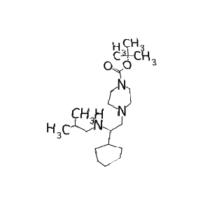 CC(C)CNC(CN1CCN(C(=O)OC(C)(C)C)CC1)C1CCCCC1